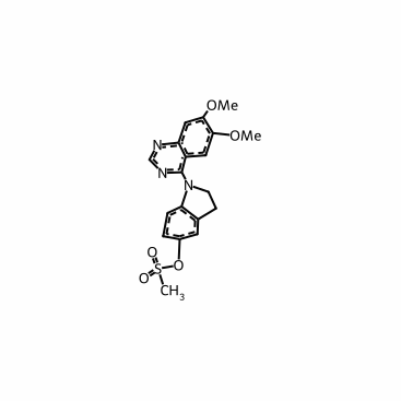 COc1cc2ncnc(N3CCc4cc(OS(C)(=O)=O)ccc43)c2cc1OC